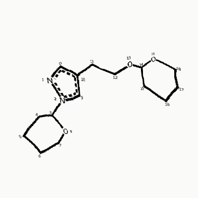 c1nn(C2CCCCO2)cc1CCOC1CCCCO1